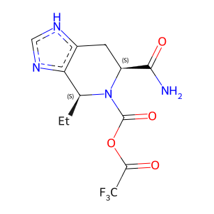 CC[C@H]1c2nc[nH]c2C[C@@H](C(N)=O)N1C(=O)OC(=O)C(F)(F)F